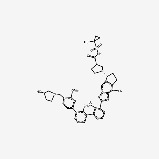 COc1nc(-c2cccc(-c3cccc(-c4nc5cc6c(c(C#N)c5o4)CC[C@H]6N4CC[C@@H](C(=O)NS(=O)(=O)C5(C)CC5)C4)c3C)c2C)cnc1CN1CC[C@@H](O)C1